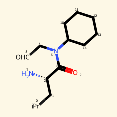 CC(C)C[C@H](N)C(=O)N(CC=O)C1CCCCC1